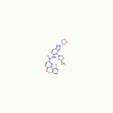 C[C@@H]1CCN(c2c(NC(=O)c3ccc(=O)n(-c4c(F)cccc4F)n3)ccc3nn([C@@H]4CCOC4)cc23)C1